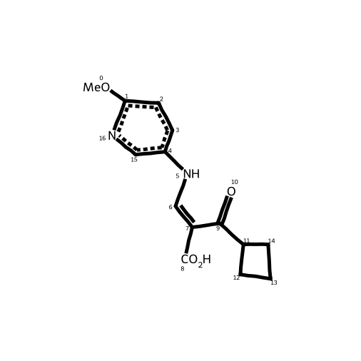 COc1ccc(NC=C(C(=O)O)C(=O)C2CCC2)cn1